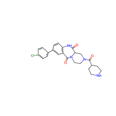 O=C1Nc2ccc(-c3ccc(Cl)cc3)cc2C(=O)N2CCN(C(=O)C3CCNCC3)CC12